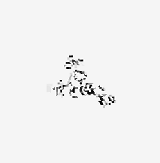 CC(Oc1ccc2c(c1)OCO2)(C(=O)Nc1ncc(F)s1)c1ccc(S(C)(=O)=O)cc1